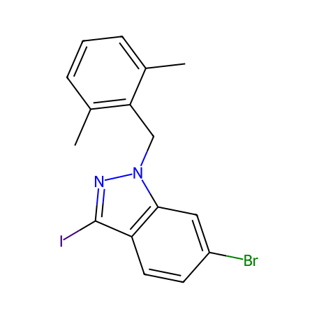 Cc1cccc(C)c1Cn1nc(I)c2ccc(Br)cc21